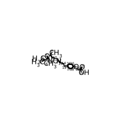 Cc1oc(C(C)(C)C)nc1CON=CCCc1ccc(OCC(=O)O)cc1